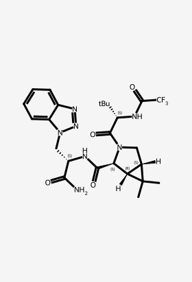 CC(C)(C)[C@H](NC(=O)C(F)(F)F)C(=O)N1C[C@H]2[C@@H]([C@H]1C(=O)N[C@@H](Cn1nnc3ccccc31)C(N)=O)C2(C)C